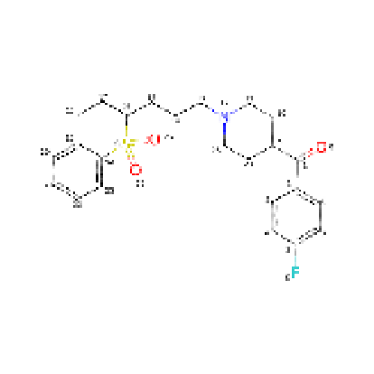 O=C(c1ccc(F)cc1)C1CCN(CCCC2CCc3ccccc3S2(=O)=O)CC1